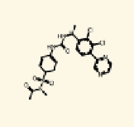 CC(=O)N(C)S(=O)(=O)C1C=CC(NC(=O)N[C@@H](C)c2ccc(-c3cnccn3)c(Cl)c2Cl)=CC1